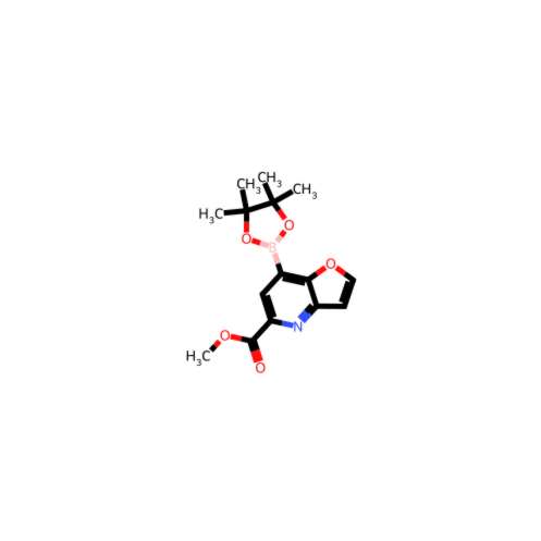 COC(=O)c1cc(B2OC(C)(C)C(C)(C)O2)c2occc2n1